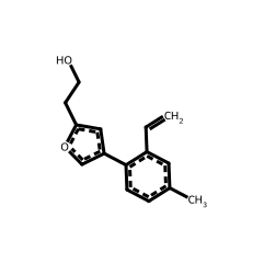 C=Cc1cc(C)ccc1-c1coc(CCO)c1